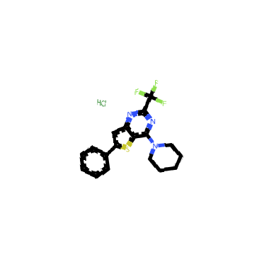 Cl.FC(F)(F)c1nc(N2CCCCC2)c2sc(-c3ccccc3)cc2n1